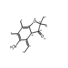 CC=C1C(N)=C(C)C(C)=C2OC(C)(C)C(=O)C12